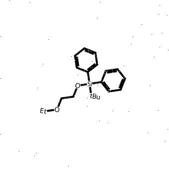 [CH2]COCCO[Si](c1ccccc1)(c1ccccc1)C(C)(C)C